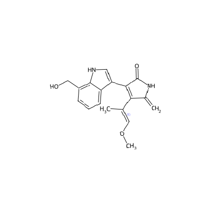 C=C1NC(=O)C(c2c[nH]c3c(CO)cccc23)=C1/C(C)=C/OC